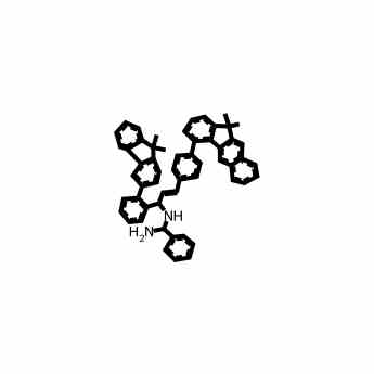 CC1(C)c2ccccc2-c2cc(-c3ccccc3C(/C=C/c3ccc(-c4cccc5c4-c4cc6ccccc6cc4C5(C)C)cc3)NC(N)c3ccccc3)ccc21